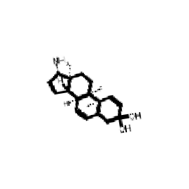 C[C@]12CC[C@]3(F)[C@@H](C=CC4CC(O)(O)C=C[C@@]43C)[C@@H]1CC[C@@H]2N